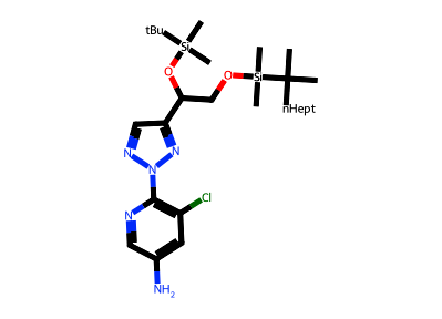 CCCCCCCC(C)(C)[Si](C)(C)OCC(O[Si](C)(C)C(C)(C)C)c1cnn(-c2ncc(N)cc2Cl)n1